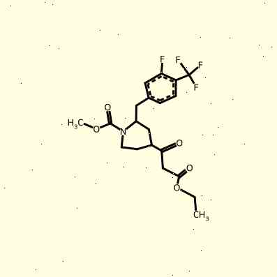 CCOC(=O)CC(=O)C1CCN(C(=O)OC)C(Cc2ccc(C(F)(F)F)c(F)c2)C1